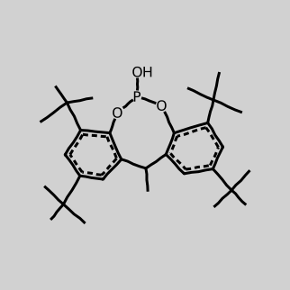 CC1c2cc(C(C)(C)C)cc(C(C)(C)C)c2OP(O)Oc2c1cc(C(C)(C)C)cc2C(C)(C)C